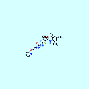 Cc1cc(C)c(NC(=O)c2sc(NC(=O)NCCOc3ccccn3)nc2C)c(C)c1